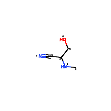 CNC(C#N)CO